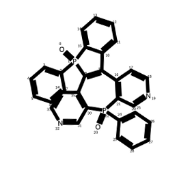 O=P1(c2ccccc2)C2=C(c3ccccc31)c1ccncc1P(=O)(c1ccccc1)c1cnccc12